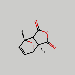 O=C1OC(=O)[C@H]2C3C=C[C@@H](O3)C12